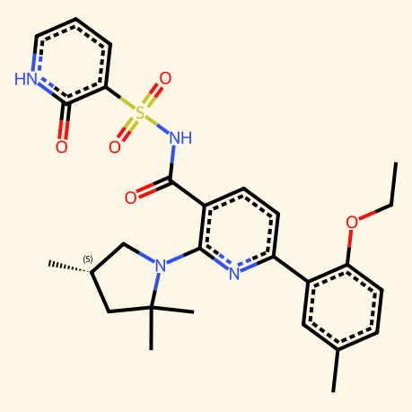 CCOc1ccc(C)cc1-c1ccc(C(=O)NS(=O)(=O)c2ccc[nH]c2=O)c(N2C[C@@H](C)CC2(C)C)n1